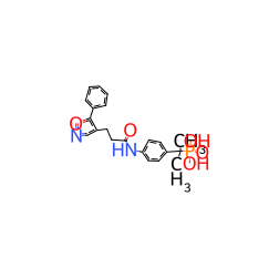 CC(C)(c1ccc(NC(=O)CCc2cnoc2-c2ccccc2)cc1)P(=O)(O)O